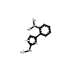 CNc1nc(-c2ccccc2B(O)O)cs1